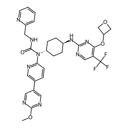 COc1ncc(-c2ccc(N(C(=O)NCc3ccccn3)[C@H]3CC[C@H](Nc4ncc(C(F)(F)F)c(OC5COC5)n4)CC3)nc2)cn1